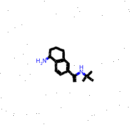 C=C(NC(C)(C)C)c1ccc2c(c1)CCCC2N